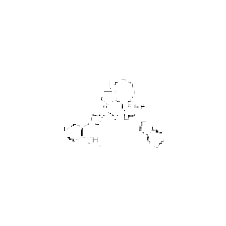 Cc1ccncc1C1CN(C(=O)[C@@H]2CC[C@@H]3CCCC[C@H](NC(=O)c4cc5ccccc5s4)C(=O)N32)C1